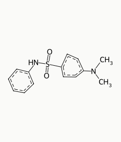 CN(C)c1ccc(S(=O)(=O)Nc2ccccc2)cc1